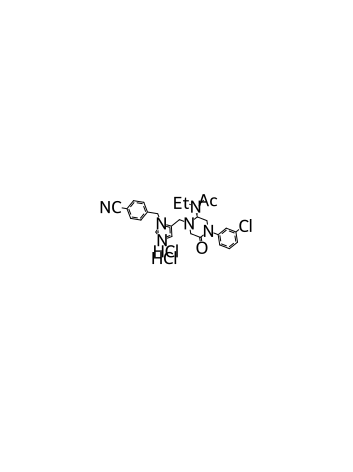 CCN(C(C)=O)[C@H]1CN(c2cccc(Cl)c2)C(=O)CN1Cc1cncn1Cc1ccc(C#N)cc1.Cl.Cl